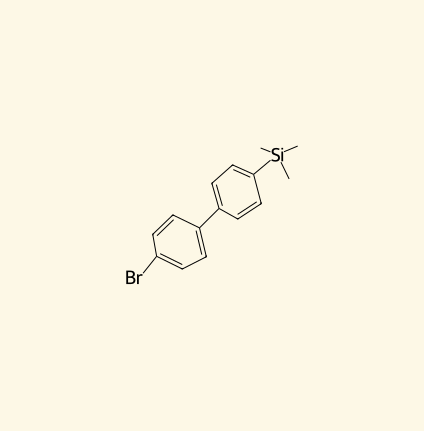 C[Si](C)(C)c1ccc(-c2ccc(Br)cc2)cc1